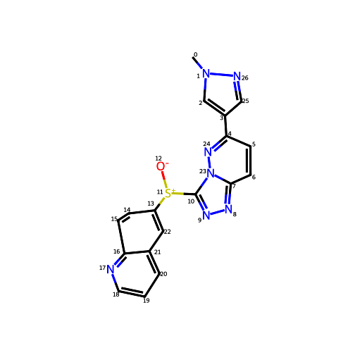 Cn1cc(-c2ccc3nnc([S+]([O-])c4ccc5ncccc5c4)n3n2)cn1